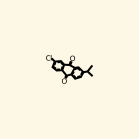 CC(C)c1ccc2c(c1)C(=O)c1cc(Cl)ccc1C2=O